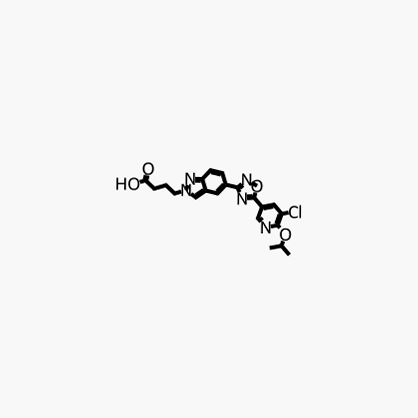 CC(C)Oc1ncc(-c2nc(-c3ccc4nn(CCCC(=O)O)cc4c3)no2)cc1Cl